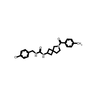 Cc1ccc(C(=O)N2CCC3(CC(NC(=O)NCc4ccc(Cl)cc4)C3)C2)cc1